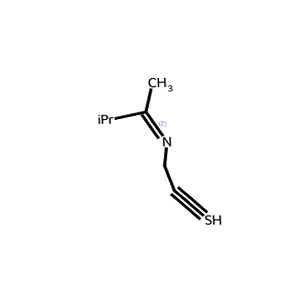 C/C(=N/CC#[SH])C(C)C